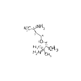 CC(N)CCOCC(C)C(C)(C)N